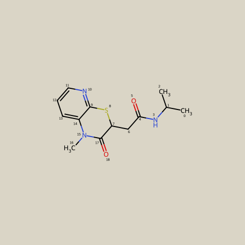 CC(C)NC(=O)CC1Sc2ncccc2N(C)C1=O